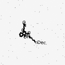 CCCCCCCCCCCCCCCCNC(=O)c1cc(OCCN=C=O)c2ccccc2c1O